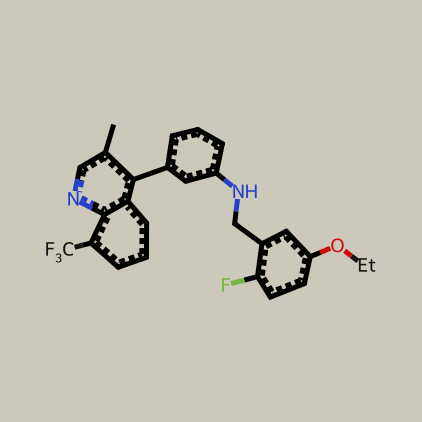 CCOc1ccc(F)c(CNc2cccc(-c3c(C)cnc4c(C(F)(F)F)cccc34)c2)c1